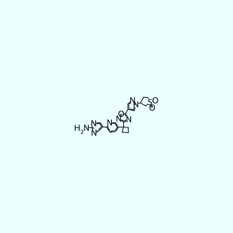 Nc1ncc(-c2ccc(C3(c4noc(-c5cnn(C6CCS(=O)(=O)C6)c5)n4)CCC3)cn2)cn1